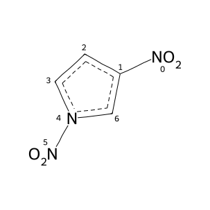 O=[N+]([O-])c1ccn([N+](=O)[O-])c1